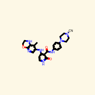 Cc1c(Nc2cc[nH]c(=O)c2C(=O)Nc2ccc(N3CCN(C#N)CC3)cc2)cnc2c1NCCO2